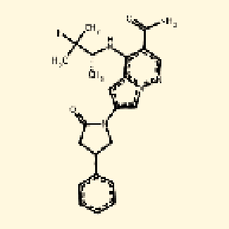 C[C@@H](Nc1c(C(N)=O)cnn2cc(N3CC(c4ccccc4)CC3=O)cc12)C(C)(C)F